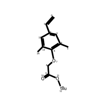 C=Cc1cc(C)c(OCC(=O)OC(C)(C)C)c(C)c1